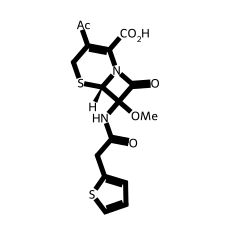 COC1(NC(=O)Cc2cccs2)C(=O)N2C(C(=O)O)=C(C(C)=O)CS[C@H]21